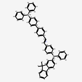 CC1(C)c2ccccc2-c2ccc(N(c3ccccc3)c3ccc(/C=C/c4ccc(-c5ccc(N(c6ccccc6)c6ccccc6)cc5)cc4)cc3)cc21